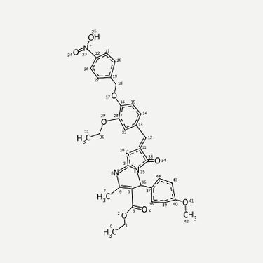 CCOC(=O)C1=C(C)N=c2s/c(=C\c3ccc(OCc4ccc([N+](=O)O)cc4)c(OCC)c3)c(=O)n2C1c1ccc(OC)cc1